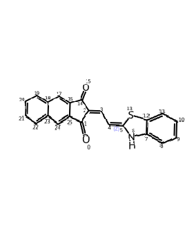 O=C1C(=C/C=C2/Nc3ccccc3S2)C(=O)c2cc3ccccc3cc21